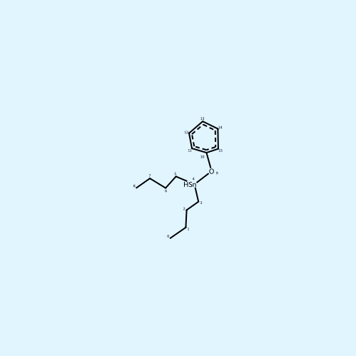 CCC[CH2][SnH]([CH2]CCC)[O]c1ccccc1